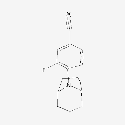 N#Cc1ccc(N2C3CCCC2CC3)c(F)c1